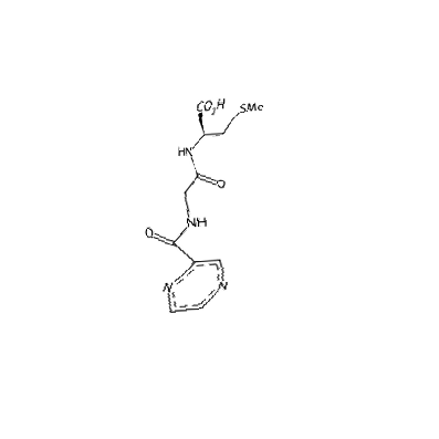 CSC[C@@H](NC(=O)CNC(=O)c1cnccn1)C(=O)O